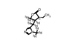 [2H]C([2H])([2H])n1cncc1C([2H])([2H])[C@]1([2H])[C@H](CC)C(=O)OC1([2H])[2H]